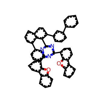 c1ccc(-c2cccc(-c3ccc4cccc(-c5ccccc5)c4c3-c3nc(-c4cccc5c4oc4ccccc45)nc(-c4cccc5c4oc4ccccc45)n3)c2)cc1